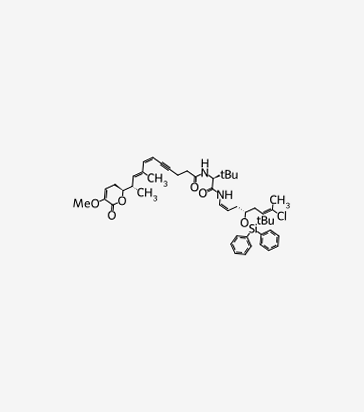 COC1=CC[C@@H]([C@@H](C)/C=C(C)/C=C\C#CCCC(=O)N[C@H](C(=O)N/C=C\C[C@H](C/C=C(\C)Cl)O[Si](c2ccccc2)(c2ccccc2)C(C)(C)C)C(C)(C)C)OC1=O